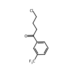 O=C(CCCCl)c1cccc(C(F)(F)F)c1